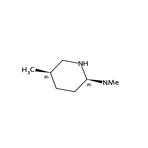 CN[C@H]1CC[C@@H](C)CN1